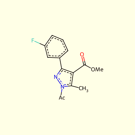 COC(=O)c1c(-c2cccc(F)c2)nn(C(C)=O)c1C